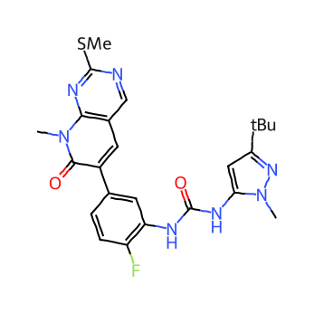 CSc1ncc2cc(-c3ccc(F)c(NC(=O)Nc4cc(C(C)(C)C)nn4C)c3)c(=O)n(C)c2n1